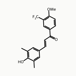 COc1ccc(C(=O)/C=C/c2cc(C)c(O)c(C)c2)cc1C(F)(F)F